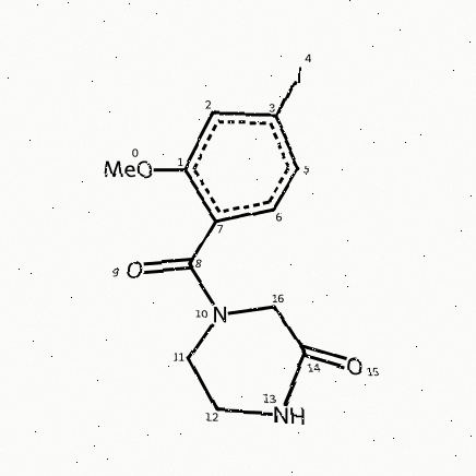 COc1cc(I)ccc1C(=O)N1CCNC(=O)C1